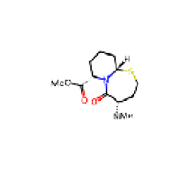 CN[C@H]1CCS[C@H]2CCC[C@@H](C(=O)OC)N2C1=O